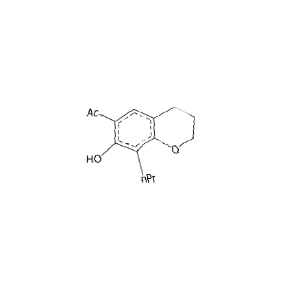 CCCc1c(O)c(C(C)=O)cc2c1OCCC2